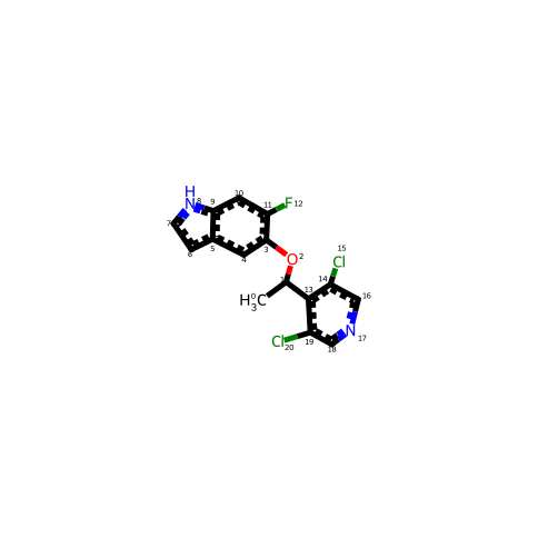 CC(Oc1cc2cc[nH]c2cc1F)c1c(Cl)cncc1Cl